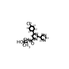 CC(C)(O)CNC(=O)c1cc(-c2ccc(Cl)cc2)nc(-c2cncnc2)n1